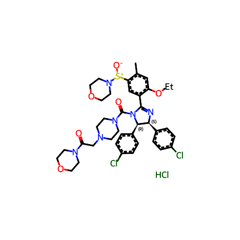 CCOc1cc(C)c([S+]([O-])N2CCOCC2)cc1C1=N[C@@H](c2ccc(Cl)cc2)[C@@H](c2ccc(Cl)cc2)N1C(=O)N1CCN(CC(=O)N2CCOCC2)CC1.Cl